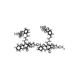 CCCc1nc2c([nH]1)c(=O)n(Cc1ccccc1)c(=O)n2CCCCc1cccc(OS(=O)(=O)O)c1.CCCc1nc2c([nH]1)c(=O)n(Cc1ccccc1)c(=O)n2CCCCc1ccccc1OS(=O)(=O)O